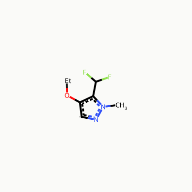 CCOc1[c]nn(C)c1C(F)F